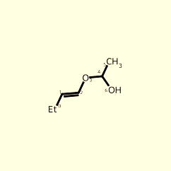 CCC=COC(C)O